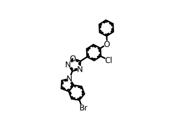 Clc1cc(-c2nc(-n3ccc4cc(Br)ccc43)no2)ccc1Oc1ccccc1